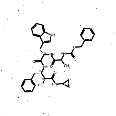 CC(NC(=O)OCc1ccccc1)C(=O)N[C@@H](Cc1c[nH]c2ccccc12)C(=O)N[C@@H](Cc1ccccc1)[C@H](O)C(=O)NC1CC1